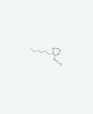 CCCCCCc1ccccc1N=C=O